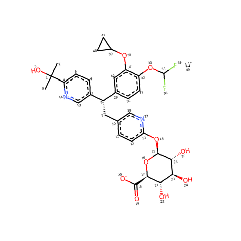 CC(C)(O)c1ccc([C@@H](Cc2ccc(O[C@@H]3O[C@H](C(=O)[O-])[C@@H](O)[C@H](O)[C@H]3O)nc2)c2ccc(OC(F)F)c(OC3CC3)c2)cn1.[Li+]